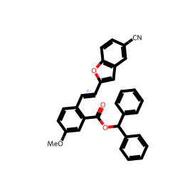 COc1ccc(/C=C/c2cc3cc(C#N)ccc3o2)c(C(=O)OC(c2ccccc2)c2ccccc2)c1